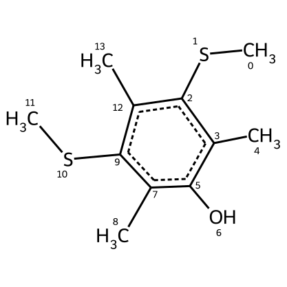 CSc1c(C)c(O)c(C)c(SC)c1C